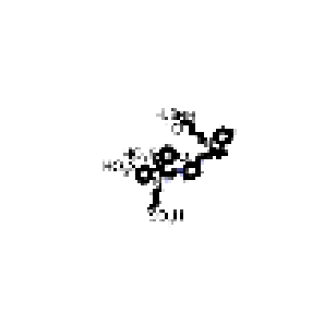 BNC(=O)CCCC[N+]1=C(/C=C/C2=C(Oc3ccc(S(=O)(=O)O)cc3)C(=C/C=C3/N(CCCCS(=O)(=O)O)c4ccc(S(=O)(=O)O)cc4C3(C)C)/CCC2)C(C)(C)c2ccccc21